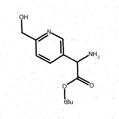 CC(C)(C)OC(=O)C(N)c1ccc(CO)nc1